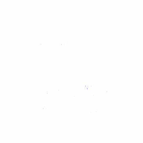 CCOC(=O)CC1C=CN(C(=O)OC)C=C1C=O